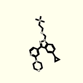 C[Si](C)(C)CCOCn1nc(-c2ccnc(N3CCOCC3)c2)c2cc(C3CC3)ccc21